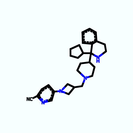 N#Cc1ccc(N2CC(CN3CCC(C4(C5CCCC5)NCCc5ccccc54)CC3)C2)cn1